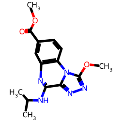 COC(=O)c1ccc2c(c1)nc(NC(C)C)c1nnc(OC)n12